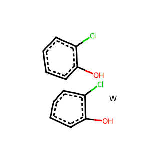 Oc1ccccc1Cl.Oc1ccccc1Cl.[W]